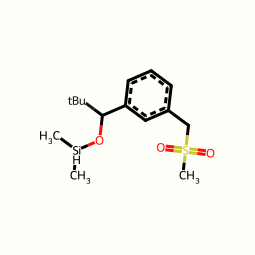 C[SiH](C)OC(c1cccc(CS(C)(=O)=O)c1)C(C)(C)C